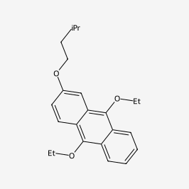 CCOc1c2ccccc2c(OCC)c2cc(OCCC(C)C)ccc12